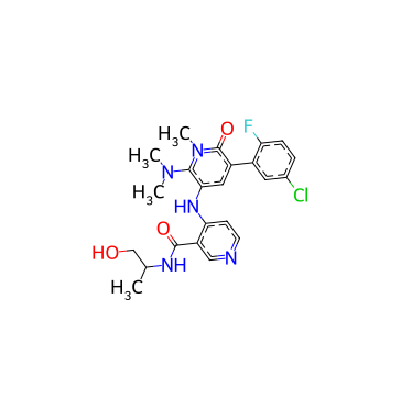 CC(CO)NC(=O)c1cnccc1Nc1cc(-c2cc(Cl)ccc2F)c(=O)n(C)c1N(C)C